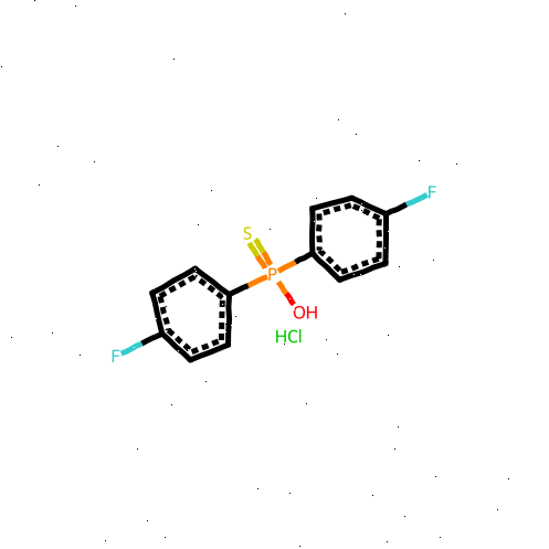 Cl.OP(=S)(c1ccc(F)cc1)c1ccc(F)cc1